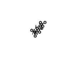 C1=CC(c2c3ccccc3c(-c3nc(-c4ccccc4)nc(-c4ccccc4)n3)c3ccccc23)Nc2c1ccc1c(-c3ccccc3)c3ccccc3nc21